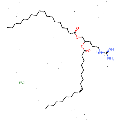 CCCCCCCC/C=C\CCCCCCCC(=O)OC[C@@H](CCCNC(=N)N)OC(=O)CCCCCCC/C=C\CCCCCCCC.Cl